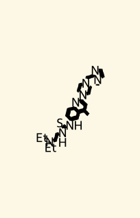 CCN(CC)CCNC(=S)Nc1ccc2nc(N3CCN(Cc4nccn4C)CC3)cc(C)c2c1